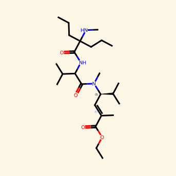 CCCC(CCC)(NC)C(=O)NC(C(=O)N(C)[C@H](/C=C(\C)C(=O)OCC)C(C)C)C(C)C